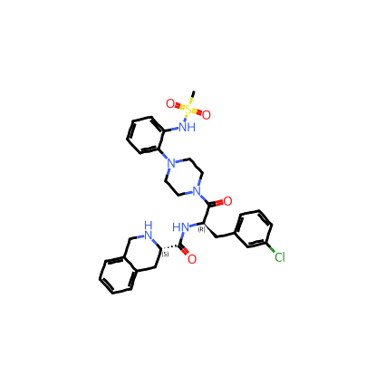 CS(=O)(=O)Nc1ccccc1N1CCN(C(=O)[C@@H](Cc2cccc(Cl)c2)NC(=O)[C@@H]2Cc3ccccc3CN2)CC1